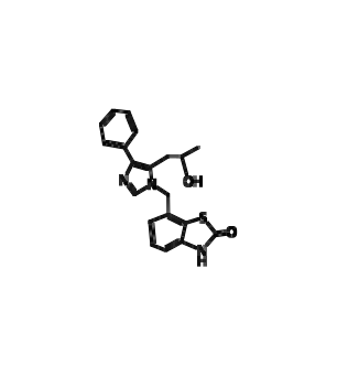 CC(O)Cc1c(-c2ccccc2)ncn1Cc1cccc2[nH]c(=O)sc12